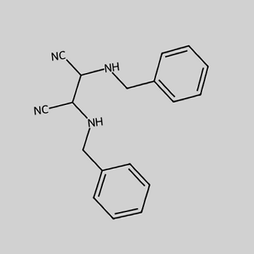 N#CC(NCc1ccccc1)C(C#N)NCc1ccccc1